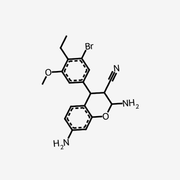 CCc1c(Br)cc(C2c3ccc(N)cc3OC(N)C2C#N)cc1OC